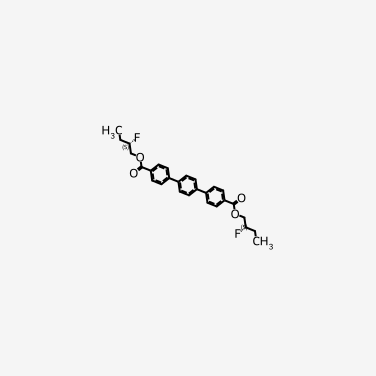 CC[C@H](F)COC(=O)c1ccc(-c2ccc(-c3ccc(C(=O)OC[C@@H](F)CC)cc3)cc2)cc1